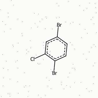 Clc1cc(Br)ccc1Br